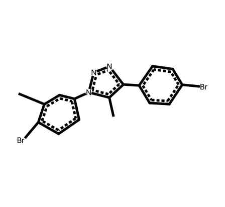 Cc1cc(-n2nnc(-c3ccc(Br)cc3)c2C)ccc1Br